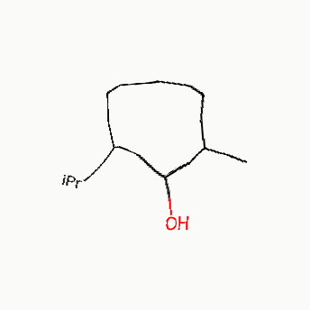 CC(C)C1CCCC(C)C1O